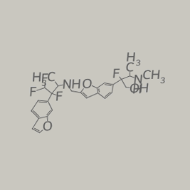 CNC(C)C(F)(CO)c1ccc2cc(CNC(C)C(F)(c3ccc4ccoc4c3)C(F)F)oc2c1